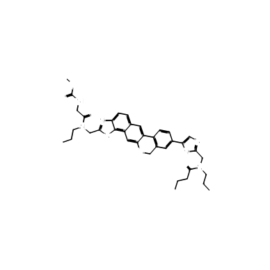 CCCC(=O)N(CCC)Cc1ncc(-c2ccc3c(c2)COc2cc4c(ccc5nc(CN(C(=O)CNC(=O)OC)[C@@H](C)CC)[nH]c54)cc2-3)[nH]1